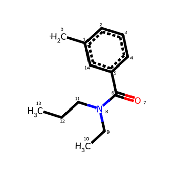 [CH2]c1cccc(C(=O)N(CC)CCC)c1